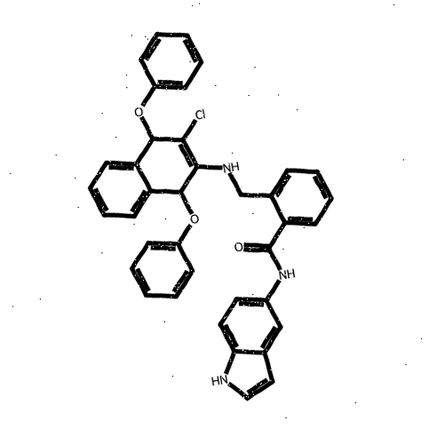 O=C(Nc1ccc2[nH]ccc2c1)c1ccccc1CNC1=C(Cl)C(Oc2ccccc2)c2ccccc2C1Oc1ccccc1